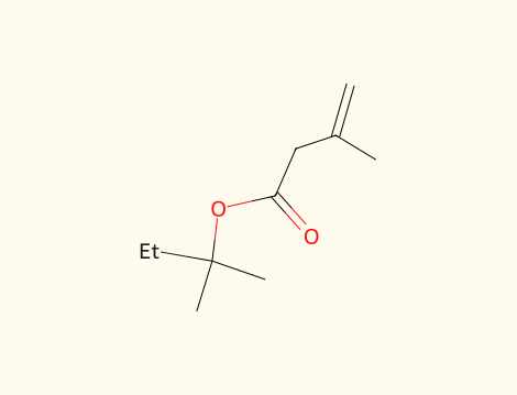 C=C(C)CC(=O)OC(C)(C)CC